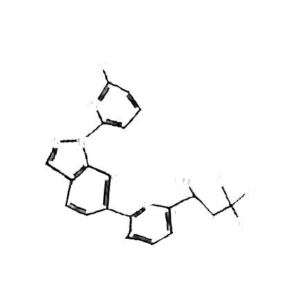 Cc1cccc(-n2ncc3ccc(-c4cccc(C(N)CC(C)(F)F)n4)cc32)n1